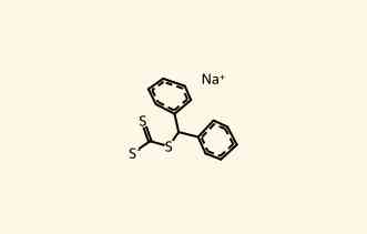 S=C([S-])SC(c1ccccc1)c1ccccc1.[Na+]